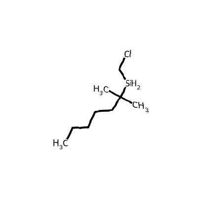 CCCCCC(C)(C)[SiH2]CCl